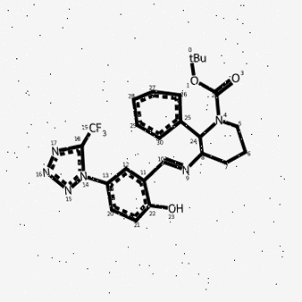 CC(C)(C)OC(=O)N1CCCC(N=Cc2cc(-n3nnnc3C(F)(F)F)ccc2O)C1c1ccccc1